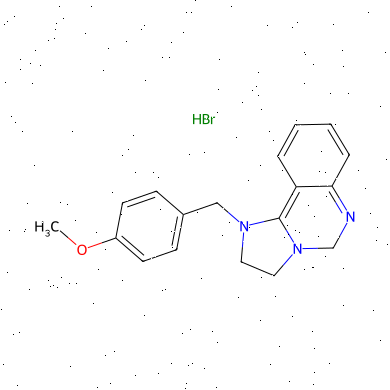 Br.COc1ccc(CN2CCN3CN=c4ccccc4=C32)cc1